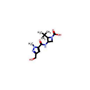 Cn1nc(CO)cc1C(=O)NC1CN(C(=O)O)C1C(C)(C)C